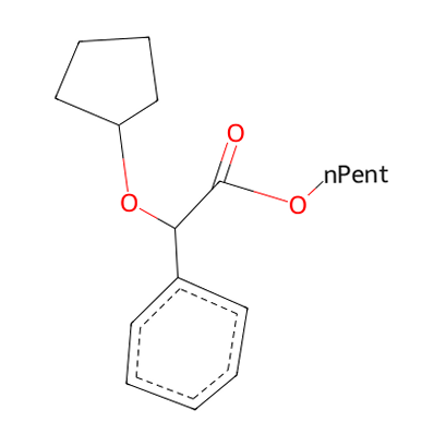 CCCCCOC(=O)C(OC1CCCC1)c1ccccc1